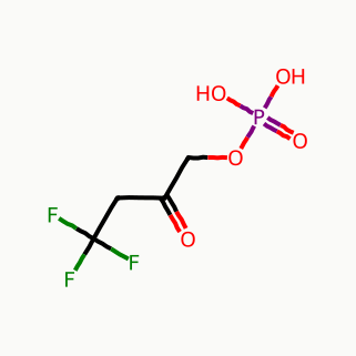 O=C(COP(=O)(O)O)CC(F)(F)F